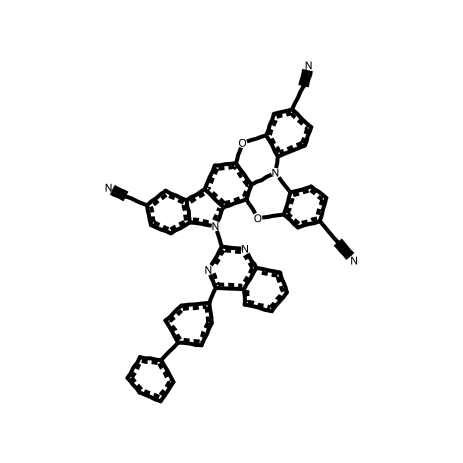 N#Cc1ccc2c(c1)Oc1cc3c4cc(C#N)ccc4n(-c4nc(-c5ccc(-c6ccccc6)cc5)c5ccccc5n4)c3c3c1N2c1ccc(C#N)cc1O3